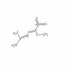 CC/C(=C\N=C(/C)N)[SH](=O)=O